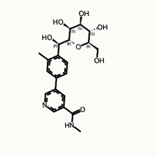 CNC(=O)c1cncc(-c2ccc([C@@H](O)[C@H]3O[C@H](CO)[C@@H](O)[C@H](O)[C@@H]3O)c(C)c2)c1